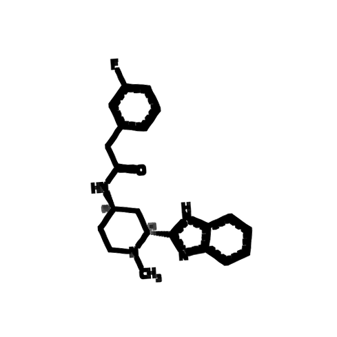 CN1CC[C@@H](NC(=O)Cc2cccc(F)c2)C[C@@H]1c1nc2ccccc2[nH]1